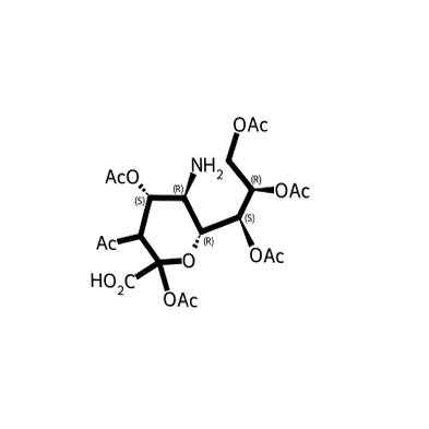 CC(=O)OC[C@@H](OC(C)=O)[C@@H](OC(C)=O)[C@@H]1OC(OC(C)=O)(C(=O)O)C(C(C)=O)[C@H](OC(C)=O)[C@H]1N